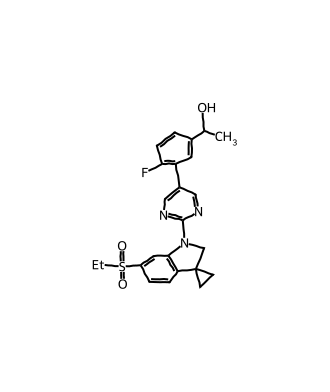 CCS(=O)(=O)c1ccc2c(c1)N(c1ncc(-c3cc(C(C)O)ccc3F)cn1)CC21CC1